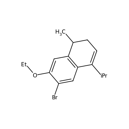 CCOc1cc2c(cc1Br)C(C(C)C)=CCC2C